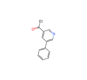 CCC(=O)c1cncc(-c2ccccc2)c1